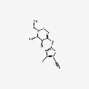 N#Cc1sc(NC2=CO[C@H](CO)[C@H](O)[C@@H]2O)nc1Cl